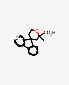 CC1(C(=O)O)CC2(CCO1)c1ccccc1-c1ccccc12